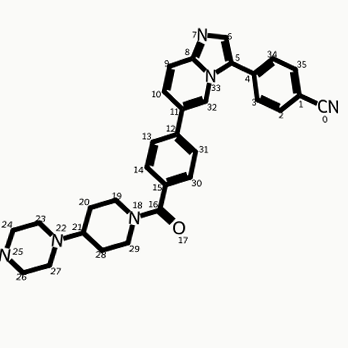 N#Cc1ccc(-c2cnc3ccc(-c4ccc(C(=O)N5CCC(N6CCNCC6)CC5)cc4)cn23)cc1